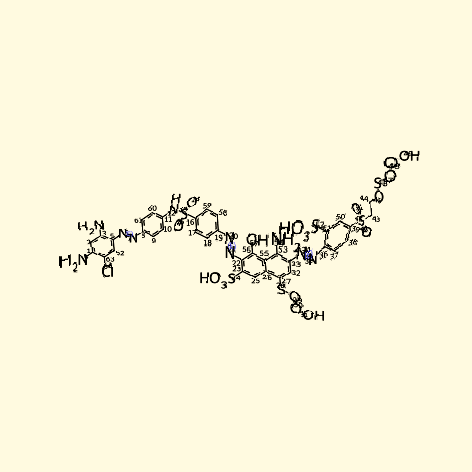 Nc1cc(N)c(/N=N/c2ccc(NS(=O)(=O)c3ccc(/N=N/c4c(S(=O)(=O)O)cc5c(SOOO)cc(/N=N/c6ccc(S(=O)(=O)CCOSOOO)cc6S(=O)(=O)O)c(N)c5c4O)cc3)cc2)cc1Cl